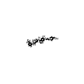 COc1cc2c(Nc3cc(CC(=O)Nc4cc(C(F)(F)F)ccc4F)[nH]n3)ncnc2cc1OCCCN1CCC(CO)CC1